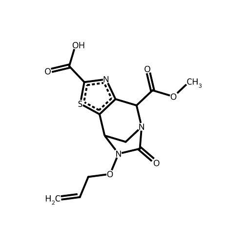 C=CCON1C(=O)N2CC1c1sc(C(=O)O)nc1C2C(=O)OC